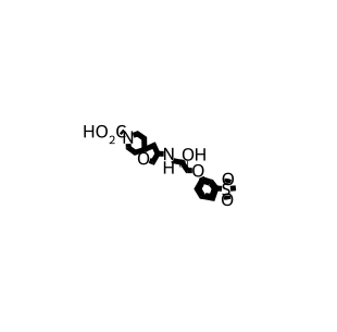 CS(=O)(=O)c1cccc(OC[C@H](O)CNC2COC3(CCN(C(=O)O)CC3)C2)c1